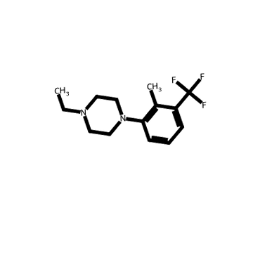 CCN1CCN(c2cccc(C(F)(F)F)c2C)CC1